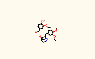 CCOc1cc(C=C2C(=O)C3CCN2CC3)ccc1OC.CCOc1cc(C=O)ccc1OC